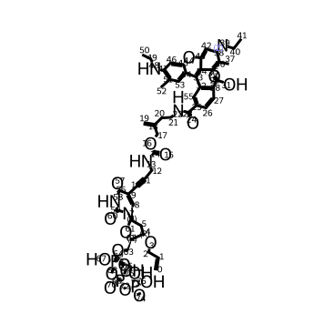 C=CCO[C@@H]1C[C@H](n2cc(C#CCNC(=O)OCC(=C)CCNC(=O)c3ccc(C(=O)O)c(-c4c5cc(C)/c(=N\CC)cc-5oc5cc(NCC)c(C)cc45)c3)c(=O)[nH]c2=O)O[C@@H]1COP(=O)(O)OP(=O)(O)OP(=O)(O)O